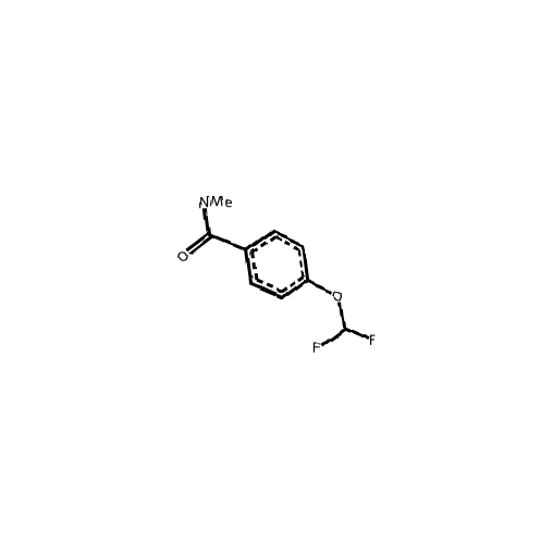 CNC(=O)c1ccc(OC(F)F)cc1